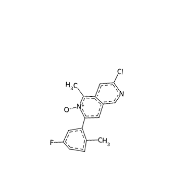 Cc1ccc(F)cc1-c1cc2cnc(Cl)cc2c(C)[n+]1[O-]